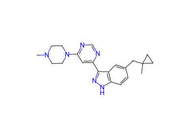 CN1CCN(c2cc(-c3n[nH]c4ccc(CC5(C)CC5)cc34)ncn2)CC1